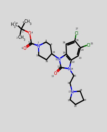 CC(C)(C)OC(=O)N1CCC(n2c(=O)n(CCN3CCCC3)c3cc(Cl)c(Cl)cc32)CC1